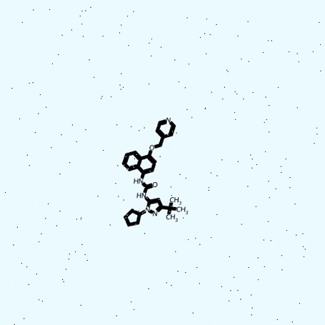 CC(C)(C)c1cc(NC(=O)Nc2ccc(OCc3ccncc3)c3ccccc23)n(C2CCCC2)n1